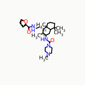 C[C@@H]1[C@H](NC(=O)N2CCN(C)CC2)CC2C(C)(C)CCC[C@]2(C)[C@H]1CCNC(=O)c1ccco1